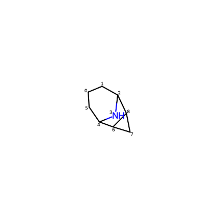 C1CC2NC(C1)C1CC21